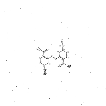 [N-]=[N+]=C1C=CC(C(=O)O)=C(CCC2=C(C(=O)O)C=CC(=[N+]=[N-])C2)C1